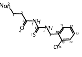 CCCCCCCCCCCC(=O)NC(=S)NCc1ccccc1Cl